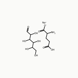 NC(CCC(=O)O)C(=O)[O-].O=CC(O)C(O)C(O)C(O)CO.[Na+]